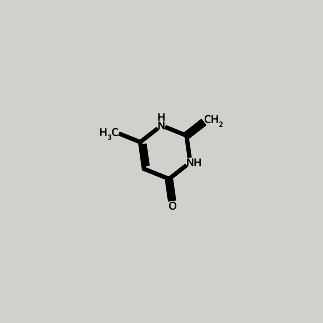 C=C1NC(=O)C=C(C)N1